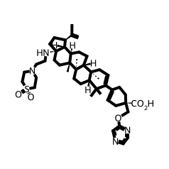 C=C(C)[C@@H]1CC[C@]2(NCCN3CCS(=O)(=O)CC3)CC[C@]3(C)[C@H](CC[C@@H]4[C@@]5(C)CC=C(C6=CC[C@@](COc7cnccn7)(C(=O)O)CC6)C(C)(C)[C@@H]5CC[C@]43C)[C@@H]12